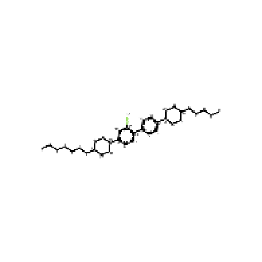 CCCCCCCC1CCC(c2ccc(-c3ccc(C4CCC(CCCCC)CC4)cc3)c(F)c2)CC1